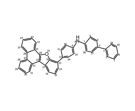 c1ccc(-c2ccc(Nc3ccc(-c4cccc5c4oc4c6ccccc6c6ccccc6c54)cc3)cc2)cc1